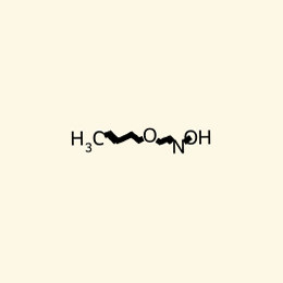 CC=CCCOCC=NO